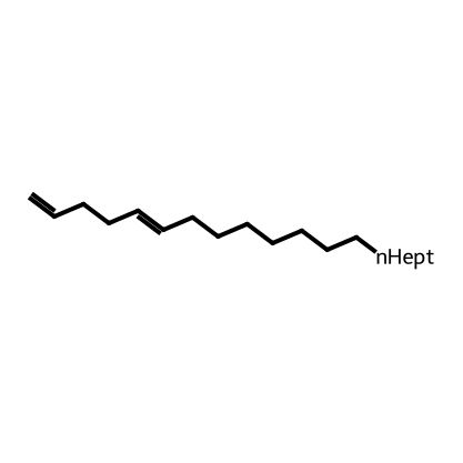 C=CCC/C=C/CCCCCCCCCCCCCC